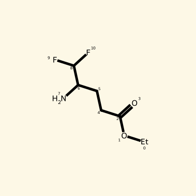 CCOC(=O)CCC(N)C(F)F